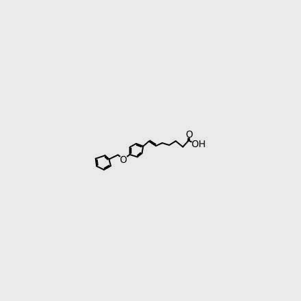 O=C(O)CCCCC=Cc1ccc(OCc2ccccc2)cc1